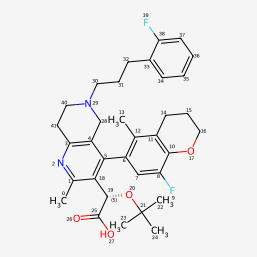 Cc1nc2c(c(-c3cc(F)c4c(c3C)CCCO4)c1[C@H](OC(C)(C)C)C(=O)O)CN(CCCc1ccccc1F)CC2